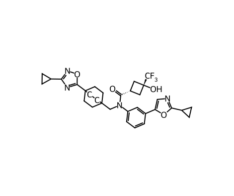 O=C([C@H]1C[C@](O)(C(F)(F)F)C1)N(CC12CCC(c3nc(C4CC4)no3)(CC1)CC2)c1cccc(-c2cnc(C3CC3)o2)c1